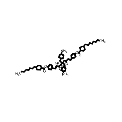 C=CCCCCCCC1CCC(C(=O)Oc2ccc(C=CC(=O)CC(Cc3ccc(N)cc3)(Cc3ccc(N)cc3)C(O)(O)C(=O)C=Cc3ccc(OC(=O)C4CCC(CCCCCCC=C)CC4)cc3)cc2)CC1